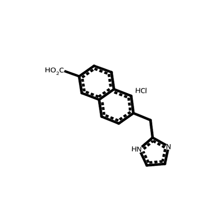 Cl.O=C(O)c1ccc2cc(Cc3ncc[nH]3)ccc2c1